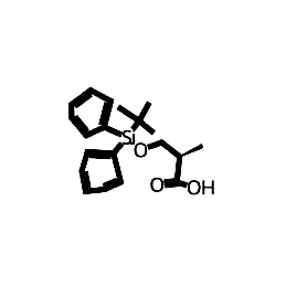 C[C@H](CO[Si](c1ccccc1)(c1ccccc1)C(C)(C)C)C(=O)O